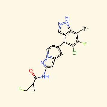 CC(C)c1c(F)c(Cl)c(-c2ccn3nc(NC(=O)C4CC4F)cc3c2)c2cn[nH]c12